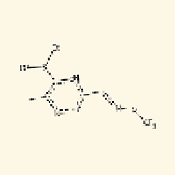 CC[S+]([O-])c1nc(/C=N/OC(F)(F)F)cnc1C